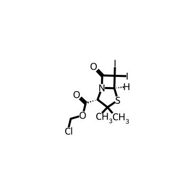 CC1(C)S[C@H]2N(C(=O)C2(I)I)[C@H]1C(=O)OCCl